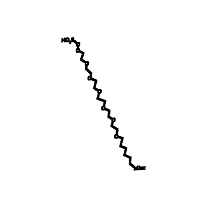 CCCCCCCCCCCCCCCCOCCOCCOCCOCCOCCOCCOOS(=O)(=O)O